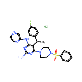 CC(c1ccc(F)cc1)c1c(Nc2cnccn2)nc(N)nc1N1CCN(S(=O)(=O)c2ccccc2)CC1.Cl